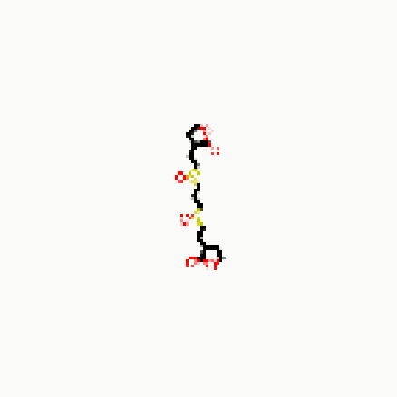 O=C1OCCC1CC[S+]([O-])CCC[S+]([O-])CCC1CCOC1=O